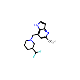 O=C(O)c1cc(CN2CCCC(C(F)F)C2)c2[nH]ccc2n1